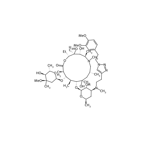 CC[C@H]1OC(=O)[C@H](C)[C@@H](O[C@H]2C[C@@](C)(OC)[C@@H](O)[C@H](C)O2)[C@H](C)[C@@H](O[C@@H]2O[C@H](C)C[C@H](N(C)CCc3cn(CCc4ccc(OC)c(OC)c4)nn3)[C@H]2O)[C@](C)(O)C[C@@H](C)CN(C)[C@H](C)[C@@H](O)[C@]1(C)O